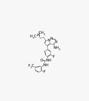 CN(C)CCc1cc(-c2ccc(NC(=O)Nc3cc(C(F)(F)F)ccc3F)c(F)c2)c2c(N)ncnn12